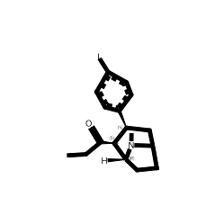 CCC(=O)[C@H]1[C@@H](c2ccc(I)cc2)CC2CC[C@H]1N2C